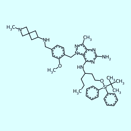 CCCC(CCO[Si](c1ccccc1)(c1ccccc1)C(C)(C)C)Nc1nc(N)nc2c(C)nn(Cc3ccc(CNC4CC5(C4)CN(C)C5)cc3OC)c12